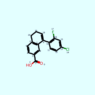 O=C(O)c1ccc2c(c1)C(c1ccc(Cl)cc1F)=CCC2